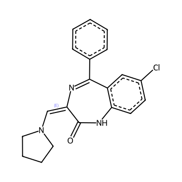 O=C1Nc2ccc(Cl)cc2C(c2ccccc2)=N/C1=C/N1CCCC1